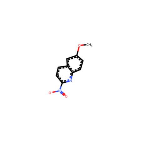 COc1ccc2nc([N+](=O)[O-])ccc2c1